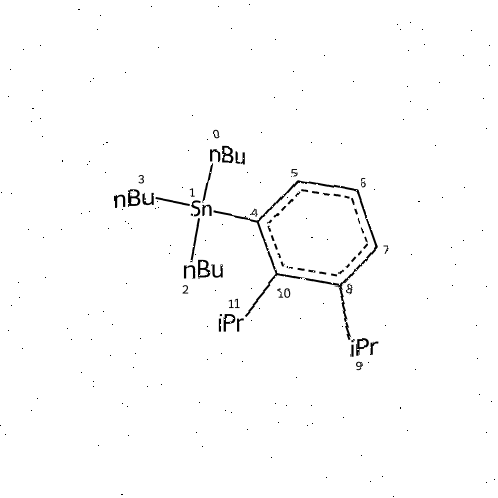 CCC[CH2][Sn]([CH2]CCC)([CH2]CCC)[c]1cccc(C(C)C)c1C(C)C